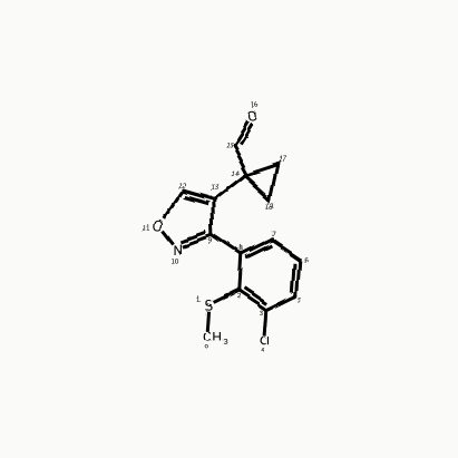 CSc1c(Cl)cccc1-c1nocc1C1(C=O)CC1